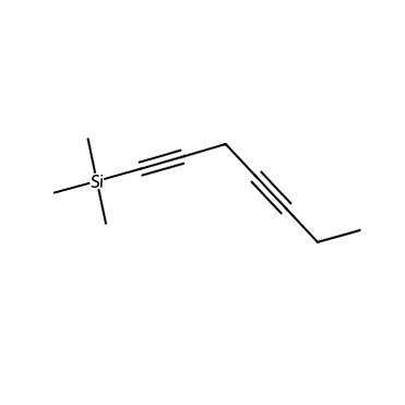 CCC#CCC#C[Si](C)(C)C